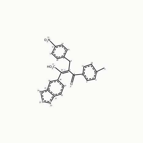 Cc1ccc(C(=O)/C(Cc2ccc([N+](=O)[O-])cc2)=C(/C(=O)O)c2ccc3nsnc3c2)cc1